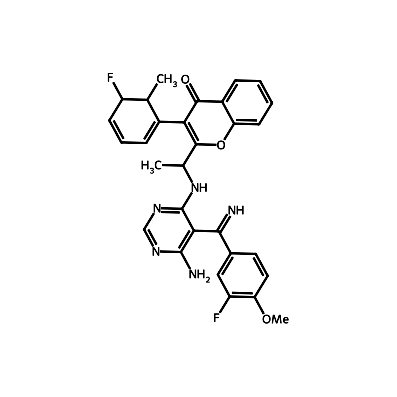 COc1ccc(C(=N)c2c(N)ncnc2NC(C)c2oc3ccccc3c(=O)c2C2=CC=CC(F)C2C)cc1F